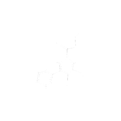 CCOC(=O)c1cc(O)c(Cl)c(-c2ccccn2)n1